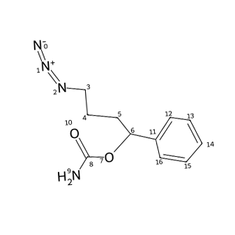 [N-]=[N+]=NCCCC(OC(N)=O)c1ccccc1